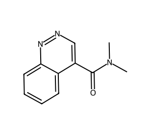 CN(C)C(=O)c1cnnc2ccccc12